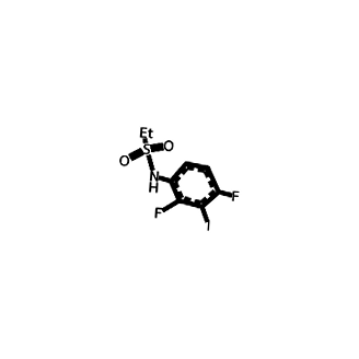 CCS(=O)(=O)Nc1ccc(F)c(I)c1F